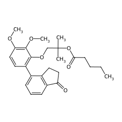 CCCCC(=O)OC(C)(C)COc1c(-c2cccc3c2CCC3=O)ccc(OC)c1OC